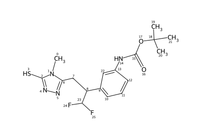 Cn1c(S)nnc1CC(c1cccc(NC(=O)OC(C)(C)C)c1)C(F)F